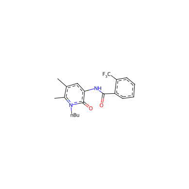 CCCCn1c(C)c(C)cc(NC(=O)c2ccccc2C(F)(F)F)c1=O